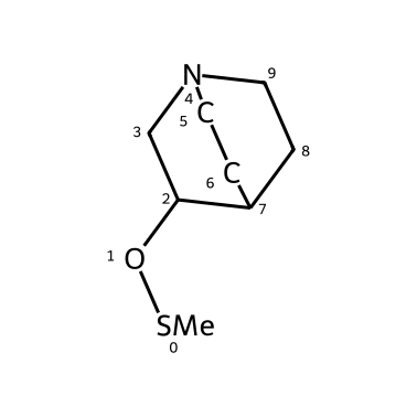 CSOC1CN2CCC1CC2